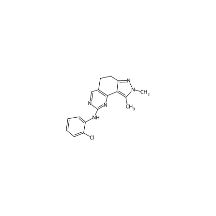 Cc1c2c(nn1C)CCc1cnc(Nc3ccccc3Cl)nc1-2